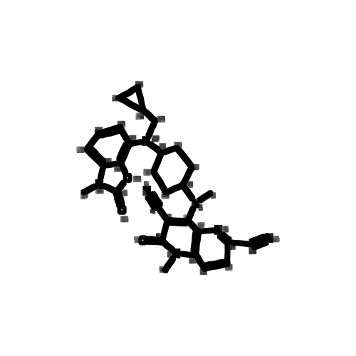 CN(c1c(C#N)c(=O)n(C)c2ccc(C#N)nc12)C1CCC(N(CC2CC2)c2cccc3c2oc(=O)n3C)CC1